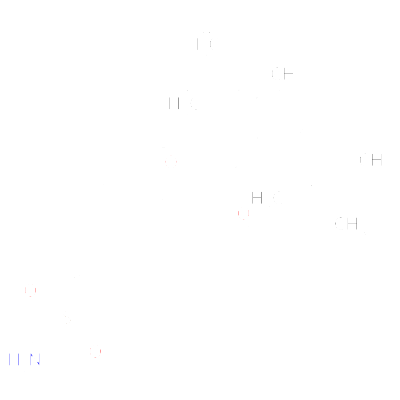 CC(C)(C)CC(C(=O)Oc1ccc(S(N)(=O)=O)cc1)C(C)(C)C